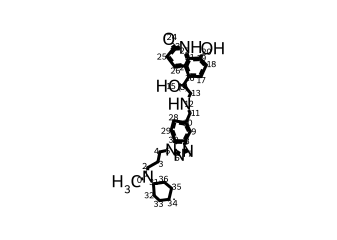 CN(CCCn1nnc2cc(CNC[C@@H](O)c3ccc(O)c4[nH]c(=O)ccc34)ccc21)C1CC[CH]CC1